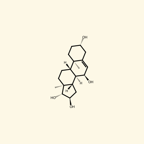 C[C@]12CC[C@H]3[C@@H]([C@H](O)C=C4C[C@@H](O)CC[C@@]43C)[C@@H]1C[C@@H](O)[C@@H]2O